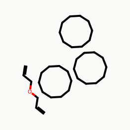 C1CCCCCCCCC1.C1CCCCCCCCC1.C1CCCCCCCCC1.C=CCOCC=C